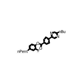 CCCCCc1ccc(OC(=O)c2ccc(-c3cnc(CCCC)cn3)cc2)c(F)c1